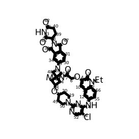 CCn1c(=O)c(OCC(=O)NC)cc2cc(Nc3nc(N4CCC(OC5CC6(C5)CN(c5ccc7c(c5)C(=O)N(C5CCC(=O)NC5=O)C7=O)C6)CC4)ncc3Cl)ccc21